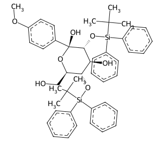 COc1ccc([C@@]2(O)O[C@H](CO)[C@@H](O[Si](c3ccccc3)(c3ccccc3)C(C)(C)C)[C@H](O)[C@H]2O[Si](c2ccccc2)(c2ccccc2)C(C)(C)C)cc1